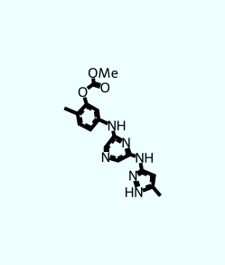 COC(=O)Oc1cc(Nc2cncc(Nc3cc(C)[nH]n3)n2)ccc1C